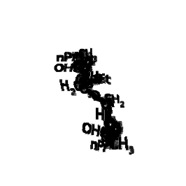 C=NC(CNc1cc(C=O)c2c(C(=O)N(C)CCC)cccc2c1)OCCOCCOC(=C)C(OCCOCC)C(=O)Nc1cc(C=O)c2c(C(=O)N(C)CCC)cccc2c1